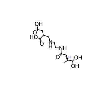 C/C(=C\C(=O)NCCNCC(CC(=O)O)C(=O)O)C(O)O